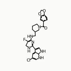 O=C(c1ccc2c(c1)OCO2)N1CCCC(CNC2=C(F)CNC(C3=CNC4NC=C(Cl)C=C34)=N2)C1